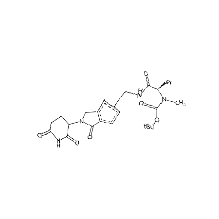 CC(C)[C@H](C(=O)NCc1ccc2c(c1)CN(C1CCC(=O)NC1=O)C2=O)N(C)C(=O)OC(C)(C)C